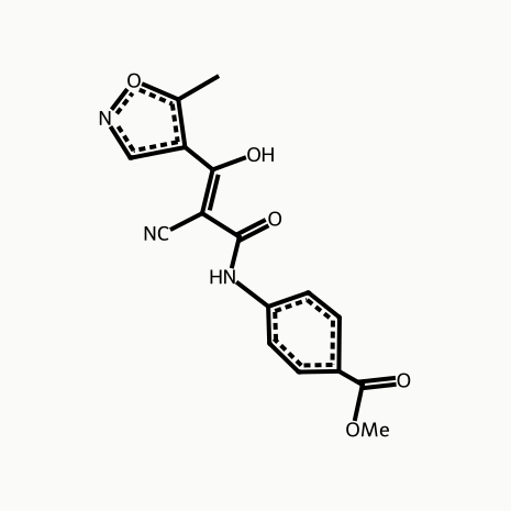 COC(=O)c1ccc(NC(=O)/C(C#N)=C(\O)c2cnoc2C)cc1